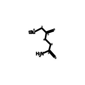 C=C(N)CCC(=C)CC(C)(C)C